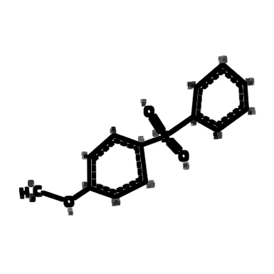 COc1ccc(S(=O)(=O)c2ccccc2)cc1